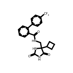 O=C1NC(=O)C(CNC(=O)c2ccccc2-c2ccc(C(F)(F)F)cc2)(C2CCC2)N1